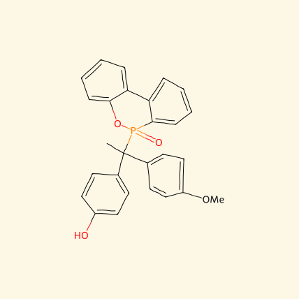 COc1ccc(C(C)(c2ccc(O)cc2)P2(=O)Oc3ccccc3-c3ccccc32)cc1